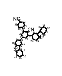 N#Cc1ccc(-c2cc(-c3ccc4sc5ccccc5c4c3)cc(-c3ccc4oc5ccccc5c4c3)c2C#N)cc1